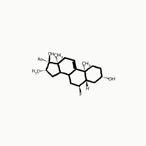 CC(=O)[C@@]1(O)[C@@H](C)CC2C3C[C@H](F)[C@H]4C[C@@H](O)CC[C@]4(C)C3=CC[C@@]21C